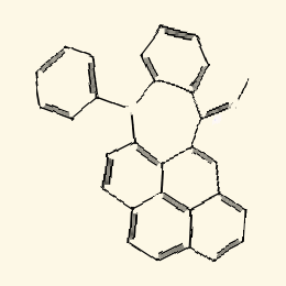 C/N=C1\c2ccccc2B(c2ccccc2)c2ccc3ccc4cccc5cc1c2c3c45